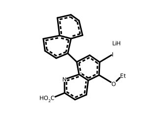 CCOc1c(I)cc(-c2cccc3ccccc23)c2nc(C(=O)O)ccc12.[LiH]